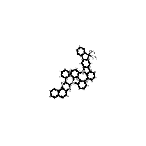 CC1(C)c2ccccc2-c2cc3c(cc21)c1cccc2c4cccc5c4c4c(cccc4n3c21)n5-c1nc2ccc3ccccc3c2nc1-c1ccccc1